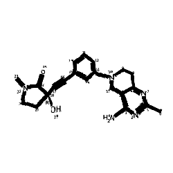 Cc1nc(N)c2c(n1)CCN(c1cccc(C#C[C@]3(O)CCN(C)C3=O)c1)C2